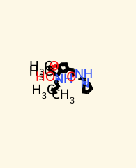 CC(C)CCN[C@@H]1c2cc(CC(=O)NCCN3CCCCC3)ccc2OC(C)(C)[C@H]1O